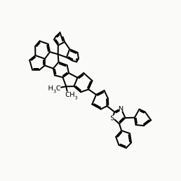 CC1(C)c2cc(-c3ccc(-c4nc(-c5ccccc5)c(-c5ccccc5)s4)cc3)ccc2-c2cc3c(cc21)-c1cccc2cccc(c12)C31c2ccccc2-c2ccccc21